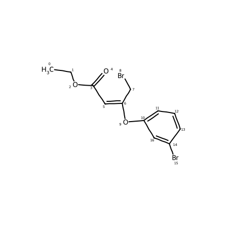 CCOC(=O)C=C(CBr)Oc1cccc(Br)c1